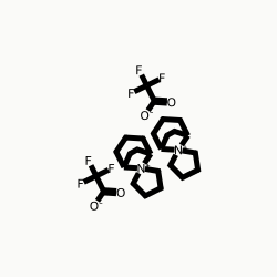 C1CC2CCC(C1)[N+]21CCCC1.C1CC2CCC(C1)[N+]21CCCC1.O=C([O-])C(F)(F)F.O=C([O-])C(F)(F)F